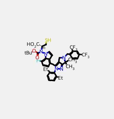 CCc1cccc(CC)c1-n1nc2c(c1-c1ccc(F)c3c1ccn3N(C(=O)OC(C)(C)C)[C@@H](CS)C(=O)O)CN(Cc1ccc(C(F)(F)F)cc1C(F)(F)F)C2(C)C